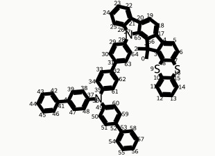 CC1(C)c2c(ccc3c2Sc2ccccc2S3)-c2ccc3c4ccccc4n(-c4ccc(-c5ccc(N(c6ccc(-c7ccccc7)cc6)c6ccc(-c7ccccc7)cc6)cc5)cc4)c3c21